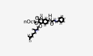 CCCCCCCCOc1c(OC/C=C(\C)CCC=C(C)C)c2ccc(NC(=O)/C=C/c3ccccc3)cc2n(C)c1=O